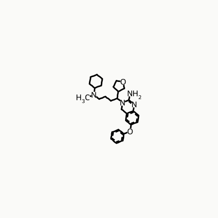 CN(CCCC(C1CCOC1)N1Cc2cc(Oc3ccccc3)ccc2N=C1N)C1CCCCC1